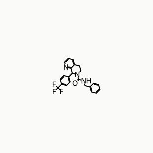 O=C(NCc1ccccc1)N1CCc2cccnc2C1c1ccc(C(F)(F)F)cc1